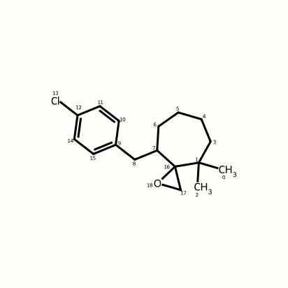 CC1(C)CCCCC(Cc2ccc(Cl)cc2)C12CO2